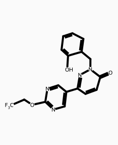 O=c1ccc(-c2cnc(OCC(F)(F)F)nc2)nn1Cc1ccccc1O